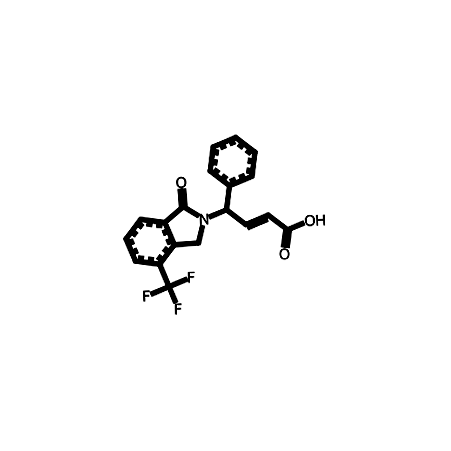 O=C(O)C=CC(c1ccccc1)N1Cc2c(cccc2C(F)(F)F)C1=O